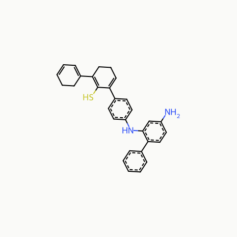 Nc1ccc(-c2ccccc2)c(Nc2ccc(C3=CCCC(C4=CC=CCC4)=C3S)cc2)c1